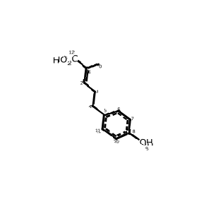 CC(=CCCc1ccc(O)cc1)C(=O)O